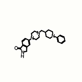 O=C1NCc2cc(N3CCN(CC4CCN(c5ccccc5)CC4)CC3)ccc21